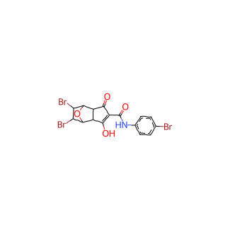 O=C(Nc1ccc(Br)cc1)C1=C(O)C2C3OC(C(Br)C3Br)C2C1=O